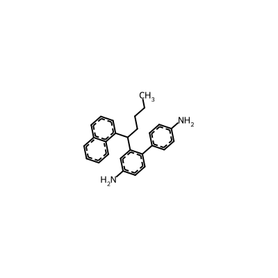 CCCCC(c1cc(N)ccc1-c1ccc(N)cc1)c1cccc2ccccc12